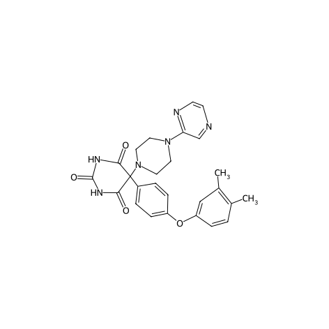 Cc1ccc(Oc2ccc(C3(N4CCN(c5cnccn5)CC4)C(=O)NC(=O)NC3=O)cc2)cc1C